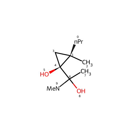 CCC[C@]1(C)C[C@@]1(O)C(C)(O)NC